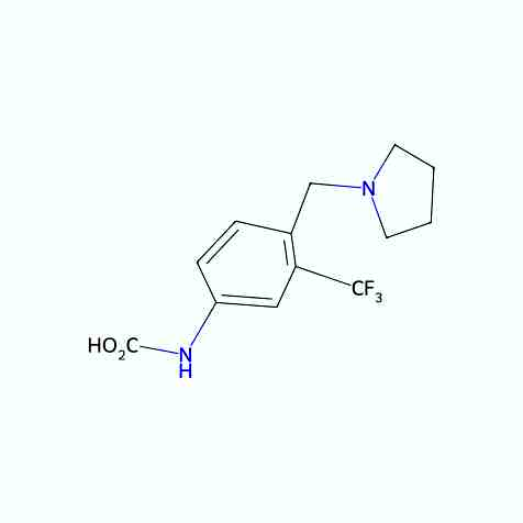 O=C(O)Nc1ccc(CN2CCCC2)c(C(F)(F)F)c1